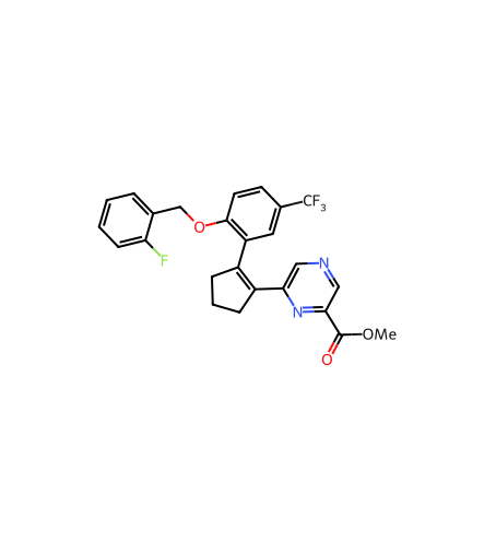 COC(=O)c1cncc(C2=C(c3cc(C(F)(F)F)ccc3OCc3ccccc3F)CCC2)n1